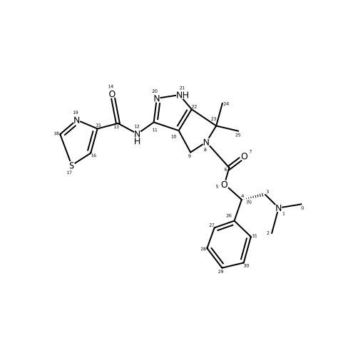 CN(C)C[C@@H](OC(=O)N1Cc2c(NC(=O)c3cscn3)n[nH]c2C1(C)C)c1ccccc1